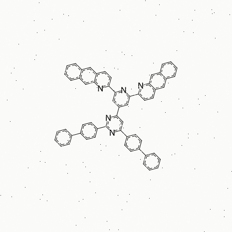 c1ccc(-c2ccc(-c3cc(-c4cc(-c5ccc6cc7ccccc7cc6n5)nc(-c5ccc6cc7ccccc7cc6n5)c4)nc(-c4ccc(-c5ccccc5)cc4)n3)cc2)cc1